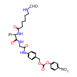 CC(C)C(NC(=O)CCCCCNC=O)C(=O)NCC(=O)Nc1ccc(COC(=O)Oc2ccc([N+](=O)[O-])cc2)cc1